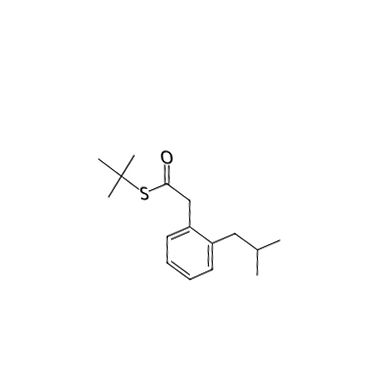 CC(C)Cc1ccccc1CC(=O)SC(C)(C)C